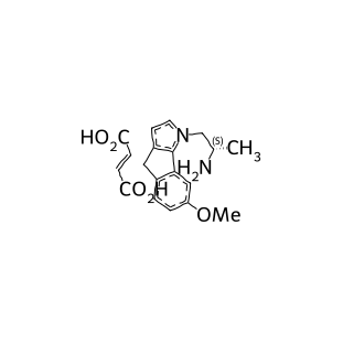 COc1ccc2c(c1)-c1c(ccn1C[C@H](C)N)C2.O=C(O)C=CC(=O)O